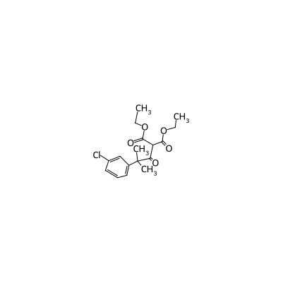 CCOC(=O)C(C(=O)OCC)C(=O)C(C)(C)c1cccc(Cl)c1